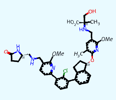 COc1nc(-c2cccc(-c3cccc4c3CC[C@@H]4Oc3nc(OC)c(CN[C@@](C)(CO)C(=O)O)cc3C)c2Cl)ccc1CNC[C@@H]1CCC(=O)N1